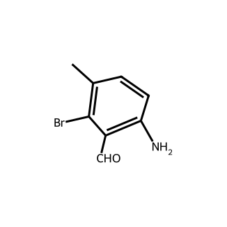 Cc1ccc(N)c(C=O)c1Br